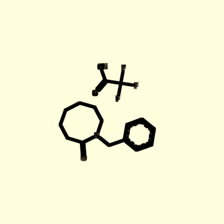 O=C(O)C(F)(F)F.O=C1CCCCCCN1Cc1ccccc1